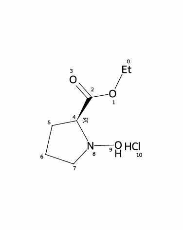 CCOC(=O)[C@@H]1CCCN1O.Cl